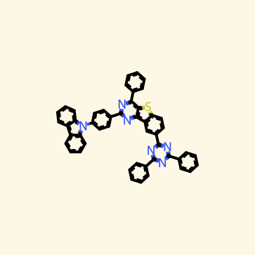 c1ccc(-c2nc(-c3ccccc3)nc(-c3ccc4sc5c(-c6ccccc6)nc(-c6ccc(-n7c8ccccc8c8ccccc87)cc6)nc5c4c3)n2)cc1